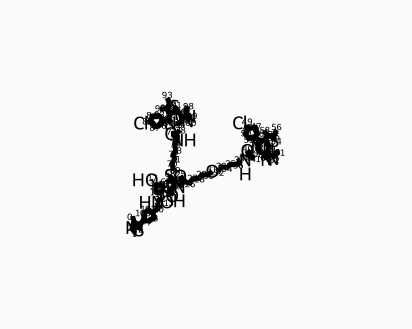 Cc1ncsc1-c1ccc(CNC(=O)[C@@H]2C[C@@H](O)CN2C(=O)[C@@H](NC(=O)CCCCCOCCCCCCNC(=O)C[C@@H]2N=C(c3ccc(Cl)cc3)c3c(sc(C)c3C)-n3c(C)nnc32)C(C)(C)SCCCCCCNC(=O)C[C@@H]2N=C(c3ccc(Cl)cc3)c3c(sc(C)c3C)-n3c(C)nnc32)cc1